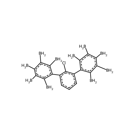 Bc1c(B)c(B)c(-c2cccc(-c3c(B)c(B)c(B)c(B)c3B)c2Cl)c(B)c1B